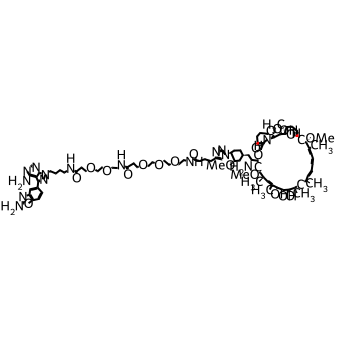 CO[C@H]1C[C@@H]2CC[C@@H](C)[C@@](O)(O2)C(=O)C(=O)N2CCCC[C@H]2C(=O)O[C@H]([C@H](N)C[C@@H]2CC[C@H](n3cc(CCCC(=O)NCCOCCOCCOCCC(=O)NCCOCCOCCC(=O)NCCCCn4nc(-c5ccc6oc(N)nc6c5)c5c(N)ncnc54)nn3)[C@H](OC)C2)C[C@@H](OC)[C@H](C)/C=C(\C)[C@@H](O)[C@@H](O)C(=O)[C@H](C)C[C@H](C)/C=C/C=C/C=C/1C